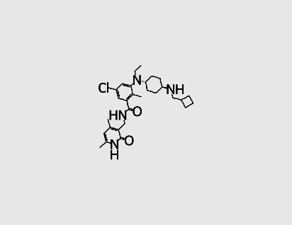 CCN(c1cc(Cl)cc(C(=O)NCc2c(C)cc(C)[nH]c2=O)c1C)[C@H]1CC[C@H](NCC2CCC2)CC1